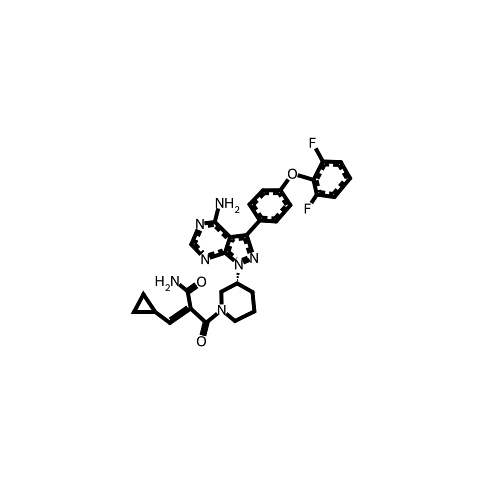 NC(=O)C(=CC1CC1)C(=O)N1CCC[C@@H](n2nc(-c3ccc(Oc4c(F)cccc4F)cc3)c3c(N)ncnc32)C1